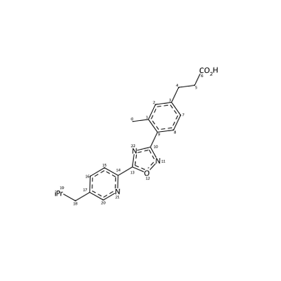 Cc1cc(CCC(=O)O)ccc1-c1noc(-c2ccc(CC(C)C)cn2)n1